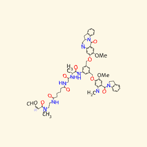 C=Nc1cc(OCc2cc(COc3cc4c(cc3OC)C(=O)N3c5ccccc5CC3C=N4)cc(NC(=O)C(C)NC(=O)CNC(=O)CCCCC(=O)NCCN(C)C(=O)/C=C\C=O)c2)c(OC)cc1C(=O)N1CCc2ccccc21